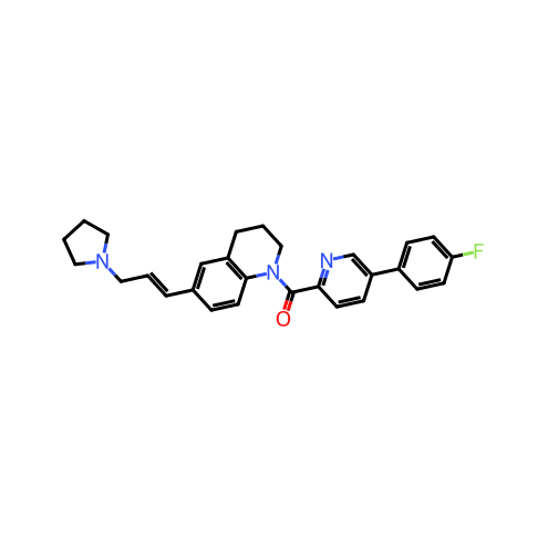 O=C(c1ccc(-c2ccc(F)cc2)cn1)N1CCCc2cc(C=CCN3CCCC3)ccc21